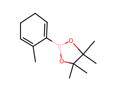 CC1=CCCC=C1B1OC(C)(C)C(C)(C)O1